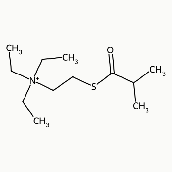 CC[N+](CC)(CC)CCSC(=O)C(C)C